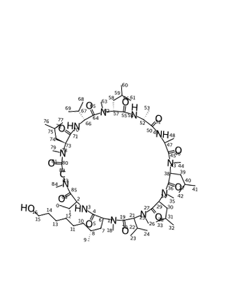 CCC1NC(=O)C(C[C@H](C)CCCCCCO)N(C)C(=O)C(C(C)C)N(C)C(=O)C(CC(C)C)N(C)C(=O)C(CC(C)C)N(C)C(=O)C(C)NC(=O)[C@@H](C)NC(=O)[C@@H](CC(C)C)N(C)C(=O)[C@@H](C(C)C)NC(=O)[C@H](CC(C)C)N(C)C(=O)CN(C)C1=O